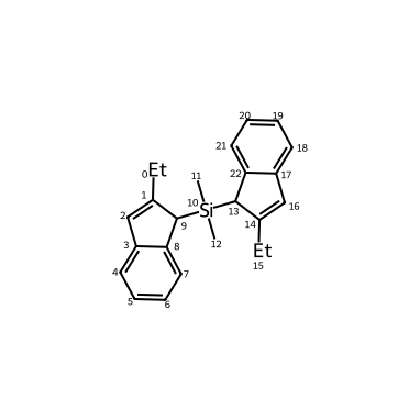 CCC1=Cc2ccccc2C1[Si](C)(C)C1C(CC)=Cc2ccccc21